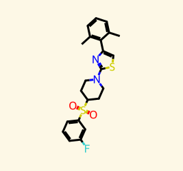 Cc1cccc(C)c1-c1csc(N2CCC(S(=O)(=O)c3cccc(F)c3)CC2)n1